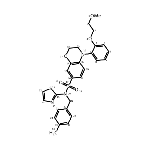 COCCOc1ccccc1N1CCOc2cc(S(=O)(=O)N(Cc3ccc(C)cc3)c3nccs3)ccc21